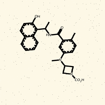 Cc1ccc(N(C)C2CN(C(=O)O)C2)cc1C(=O)NC(C)c1c(O)ccc2ccccc12